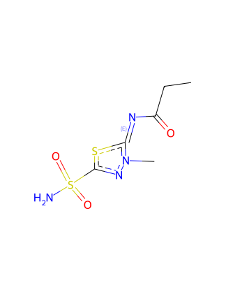 CCC(=O)/N=c1/sc(S(N)(=O)=O)nn1C